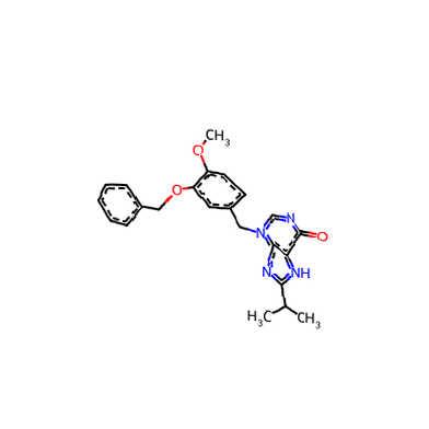 COc1ccc(Cn2cnc(=O)c3[nH]c(C(C)C)nc32)cc1OCc1ccccc1